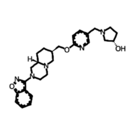 O[C@H]1CCN(Cc2ccc(OC[C@@H]3CC[C@H]4CN(c5noc6ccccc56)CCN4C3)nc2)C1